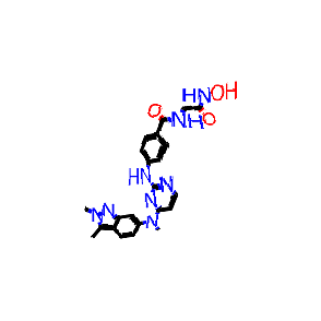 Cc1c2ccc(N(C)c3ccnc(Nc4ccc(C(=O)NCC(=O)NO)cc4)n3)cc2nn1C